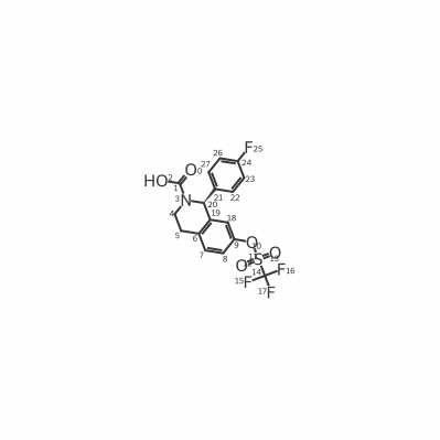 O=C(O)N1CCc2ccc(OS(=O)(=O)C(F)(F)F)cc2[C@@H]1c1ccc(F)cc1